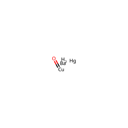 [BaH2].[Hg].[O]=[Cu]